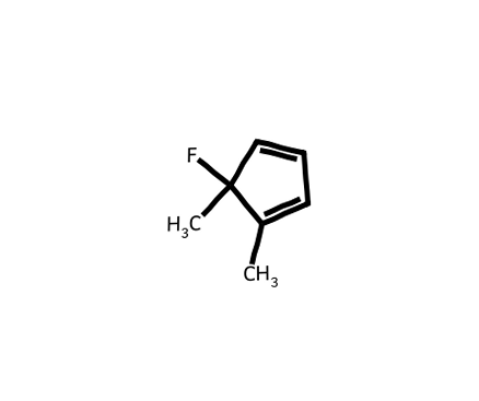 CC1=CC=CC1(C)F